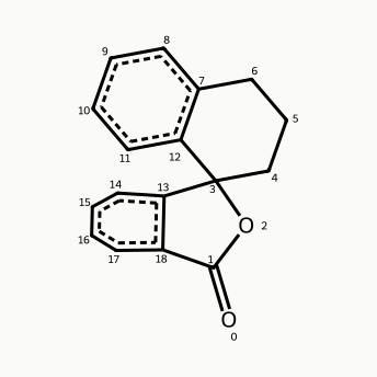 O=C1OC2(CCCc3ccccc32)c2ccccc21